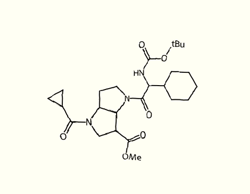 COC(=O)C1CN(C(=O)C2CC2)C2CCN(C(=O)C(NC(=O)OC(C)(C)C)C3CCCCC3)C12